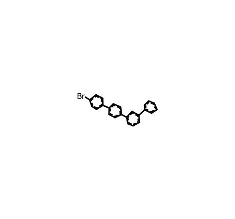 Brc1ccc(-c2ccc(-c3cccc(-c4ccccc4)c3)cc2)cc1